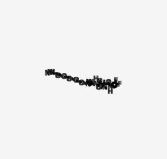 Cc1c(C(=O)C(=O)NCc2cn(CCOCCOCCOCCOCCOCCN=[N+]=[N-])nn2)c(C)n(C)c1C(=O)Nc1ccc(F)c(F)c1